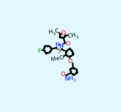 COc1c(OCc2cccc(C(N)=O)c2)cccc1C1SC(c2ccc(F)cc2)=NN1C(=O)c1cc(C)oc1C